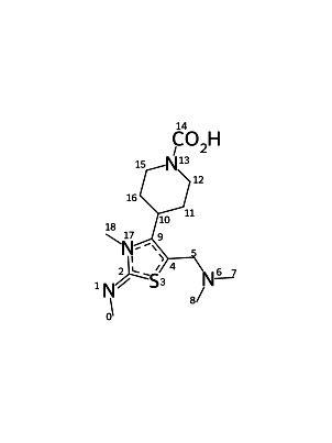 C/N=c1\sc(CN(C)C)c(C2CCN(C(=O)O)CC2)n1C